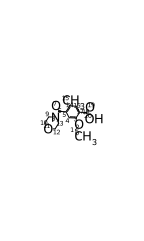 CCOc1cc(C(=O)N2CCOCC2)c(C)cc1C(=O)O